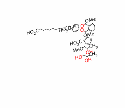 CC(O)CO.COC(=O)c1ccccc1C(=O)OC.COCC(C)O.O=C(O)CCCCCCCCC(=O)O.O=C(O)c1ccccc1.O=C(O)c1ccccc1